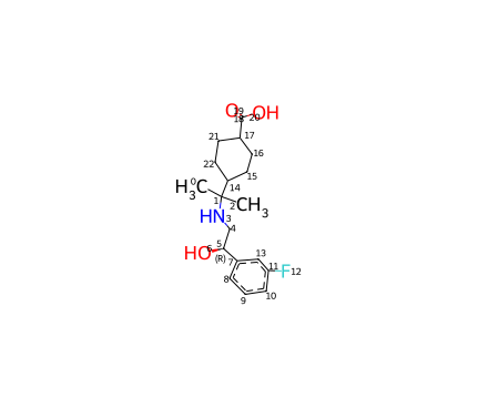 CC(C)(NC[C@H](O)c1cccc(F)c1)C1CCC(C(=O)O)CC1